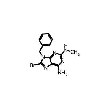 CNc1nc(N)c2nc(Br)n(Cc3ccccc3)c2n1